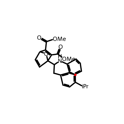 COC(=O)C1=C(C(=O)OC)C2(C(Cc3ccc(C(C)C)cc3)Nc3ccccc3)C=CC1O2